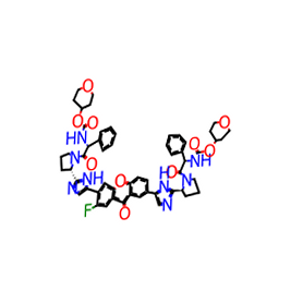 O=C(N[C@@H](C(=O)N1CCC[C@H]1c1ncc(-c2ccc3oc4cc(-c5cnc([C@@H]6CCCN6C(=O)[C@H](NC(=O)OC6CCOCC6)c6ccccc6)[nH]5)c(F)cc4c(=O)c3c2)[nH]1)c1ccccc1)OC1CCOCC1